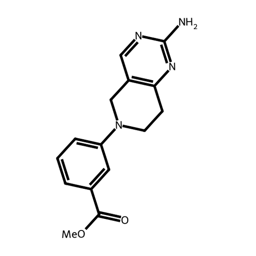 COC(=O)c1cccc(N2CCc3nc(N)ncc3C2)c1